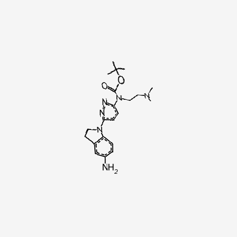 CN(C)CCN(C(=O)OC(C)(C)C)c1ccc(N2CCc3cc(N)ccc32)nn1